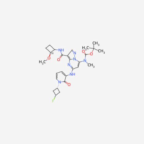 CO[C@H]1CCC1NC(=O)c1cnn2c(N(C)C(=O)OC(C)(C)C)cc(Nc3cccn([C@H]4C[C@H](F)C4)c3=O)nc12